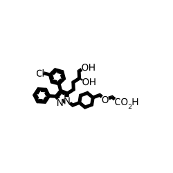 O=C(O)COCC1CCC(Cn2nc(-c3ccccc3)c(-c3cccc(Cl)c3)c2CC[C@H](O)CO)CC1